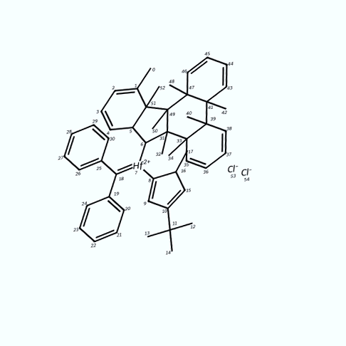 CC1=CC=CC2[CH]([Hf+2]([C]3=CC(C(C)(C)C)=CC3C)=[C](c3ccccc3)c3ccccc3)C3(C)C4(C)C=CC=CC4(C)C4(C)C=CC=CC4(C)C3(C)C12C.[Cl-].[Cl-]